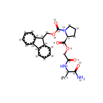 CC(C)C(NC(=O)COC(=O)[C@@H]1CCCN1C(=O)OCC1c2ccccc2-c2ccccc21)C(N)=O